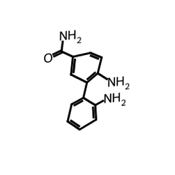 NC(=O)c1ccc(N)c(-c2ccccc2N)c1